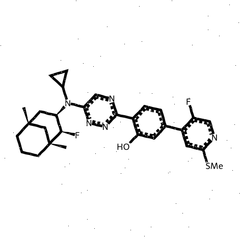 CSc1cc(-c2ccc(-c3ncc(N(C4CC4)[C@@H]4C[C@@]5(C)CCC[C@](C)(C5)[C@@H]4F)nn3)c(O)c2)c(F)cn1